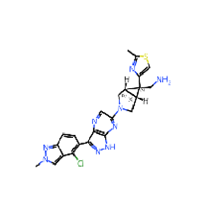 Cc1nc([C@]2(CN)[C@@H]3CN(c4cnc5c(-c6ccc7nn(C)cc7c6Cl)n[nH]c5n4)C[C@@H]32)cs1